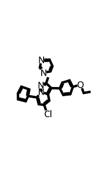 CCOc1ccc(-c2c(C)nn3c(-c4ccccc4)cc(Cl)cc23)cc1.c1cncnc1